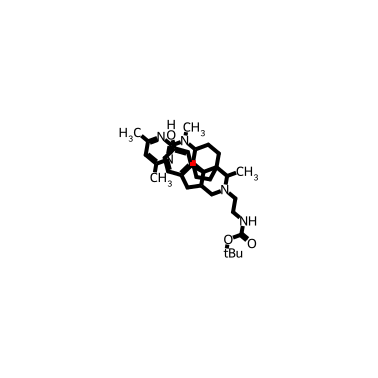 Cc1cc(C)nc(N(C)C2CCC34CCC2C32c3cc(O)ccc3CC2CN(CCNC(=O)OC(C)(C)C)C4C)n1